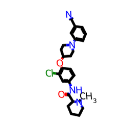 CN1CCCCC1C(=O)Nc1ccc(OC2CCN(c3cccc(C#N)c3)CC2)c(Cl)c1